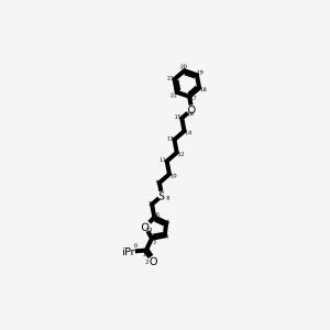 CC(C)C(=O)c1ccc(CSCCCCCCCOc2ccccc2)o1